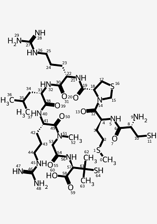 CSCC[C@H](NC(=O)[C@H](N)CS)C(=O)N1CSC[C@H]1C(=O)N[C@@H](CCCNC(=N)N)C(=O)N[C@@H](CC(C)C)C(=O)N[C@@H](CCCNC(=N)N)C(=O)N(C)CC(=O)N[C@H](C(=O)O)C(C)(C)S